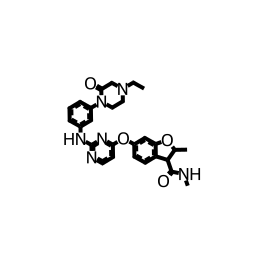 CCN1CCN(c2cccc(Nc3nccc(Oc4ccc5c(c4)OC(C)C5C(=O)NC)n3)c2)C(=O)C1